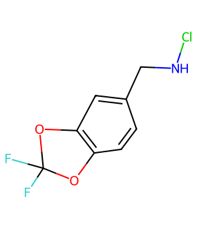 FC1(F)Oc2ccc(CNCl)cc2O1